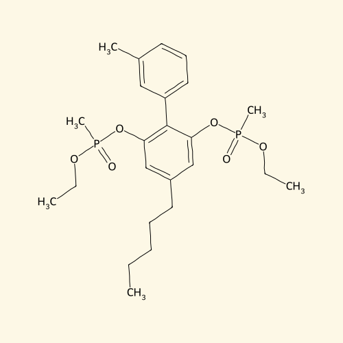 CCCCCc1cc(OP(C)(=O)OCC)c(-c2cccc(C)c2)c(OP(C)(=O)OCC)c1